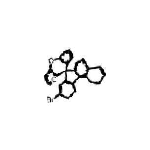 BrC1=CC2=C(CC1)c1c(ccc3c1CCC=C3)C21c2ccccc2Oc2ccccc21